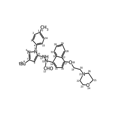 Cc1ccc(-n2nc(C(C)(C)C)cc2NN(C=O)c2ccc(OCCN3CCOCC3)c3ccccc23)cc1